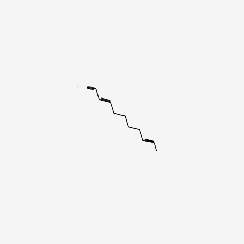 [CH]=CC=CCCCCC=CC